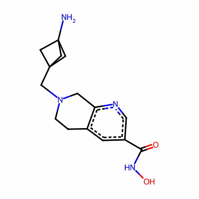 NC12CC(CN3CCc4cc(C(=O)NO)cnc4C3)(C1)C2